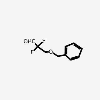 O=CC(F)(F)COCc1ccccc1